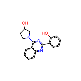 Oc1ccccc1-c1nc(N2CCC(O)C2)c2ccccc2n1